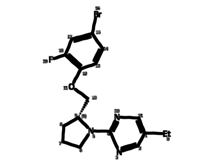 CCc1cnc(N2CCC[C@@H]2COc2ccc(Br)cc2F)nc1